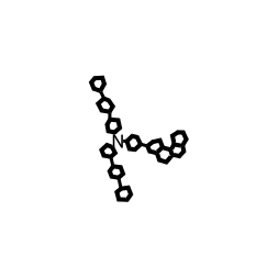 c1ccc(-c2ccc(-c3ccc(N(c4ccc(-c5ccc6c(ccc7ccc8ccccc8c76)c5)cc4)c4cccc(-c5ccc(-c6ccccc6)cc5)c4)cc3)cc2)cc1